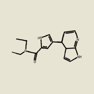 CCN(CC)C(=O)c1cc(C2C=CN=C3NC=CC32)c[nH]1